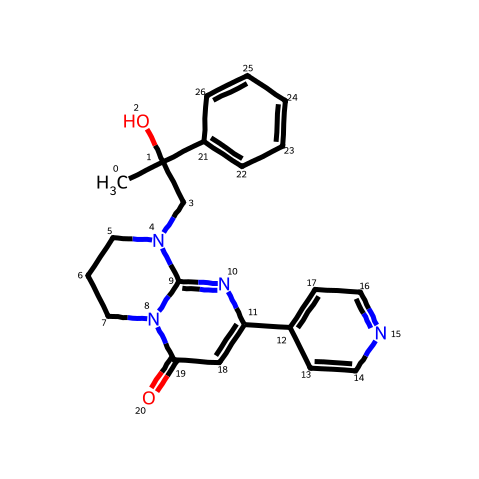 CC(O)(CN1CCCn2c1nc(-c1ccncc1)cc2=O)c1ccccc1